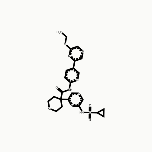 CCOc1cncc(-c2ccc(NC(=O)C3(c4cncc(NS(=O)(=O)C5CC5)n4)CCOCC3)nc2)n1